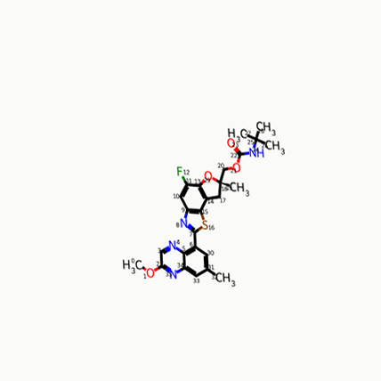 COc1cnc2c(-c3nc4cc(F)c5c(c4s3)C[C@@](C)(COC(=O)NC(C)(C)C)O5)cc(C)cc2n1